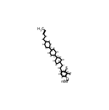 C/C=C/CCC1CCC(C2CCC(C3CCC(CCc4ccc(OCCCC)c(F)c4F)CC3)CC2)CC1